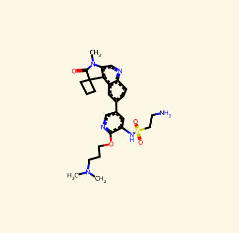 CN(C)CCCOc1ncc(-c2ccc3ncc4c(c3c2)C2(CCC2)C(=O)N4C)cc1NS(=O)(=O)CCN